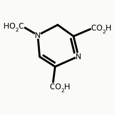 O=C(O)C1=CN(C(=O)O)CC(C(=O)O)=N1